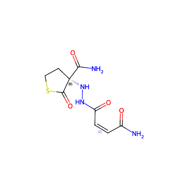 NC(=O)/C=C\C(=O)NN[C@@]1(C(N)=O)CCSC1=O